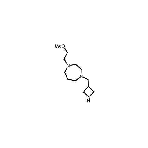 COCCN1CCCN(CC2CNC2)CC1